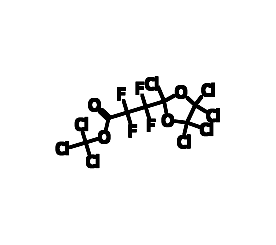 O=C(OC(Cl)(Cl)Cl)C(F)(F)C(F)(F)C1(Cl)OC(Cl)(Cl)C(Cl)(Cl)O1